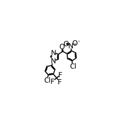 O=C(c1cn(-c2ccc(Cl)c(C(F)(F)F)c2)cn1)c1cc(Cl)ccc1[N+](=O)[O-]